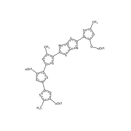 CCCCCCCCOc1cc(C)sc1-c1nc2sc(-c3sc(-c4sc(-c5cc(CCCCCCCC)c(C)s5)cc4CCCCCCCC)cc3C)nc2s1